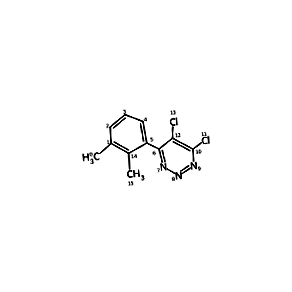 Cc1cccc(-c2nnnc(Cl)c2Cl)c1C